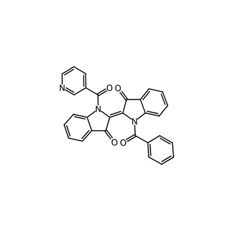 O=C1/C(=C2/C(=O)c3ccccc3N2C(=O)c2cccnc2)N(C(=O)c2ccccc2)c2ccccc21